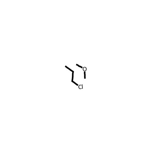 CCCCl.COC